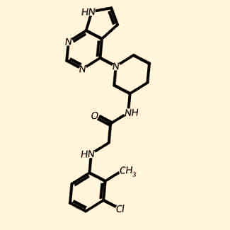 Cc1c(Cl)cccc1NCC(=O)NC1CCCN(c2ncnc3[nH]ccc23)C1